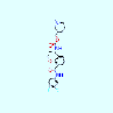 CN1CCCC(COC(=O)N[C@H]2CCOc3c(C(=O)Nc4ccc(F)c(F)c4)cccc32)C1